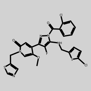 COc1cn(Cc2cncs2)c(=O)cc1-c1nn(C(=O)c2ccccc2Cl)c(NCc2ccc(Cl)s2)c1F